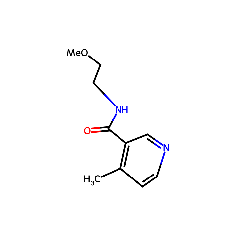 COCCNC(=O)c1cnccc1C